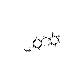 CNc1ccc(Sc2ncccn2)cc1